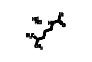 CCC(=O)NCCCN(C)C.Cl.Cl